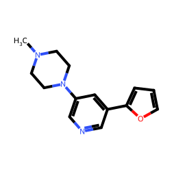 CN1CCN(c2cncc(-c3ccco3)c2)CC1